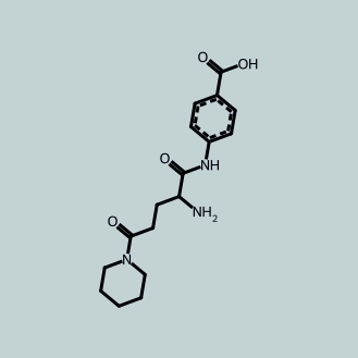 NC(CCC(=O)N1CCCCC1)C(=O)Nc1ccc(C(=O)O)cc1